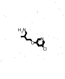 CC(CN)CCOc1cncc(Cl)c1